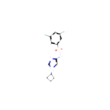 O=S(=O)(Nc1cn(C2CCC2)cn1)c1cc(Br)cc(Cl)c1O